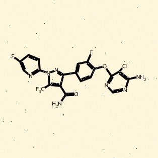 NC(=O)c1c(-c2ccc(Oc3ncnc(N)c3Cl)c(F)c2)nn(-c2ccc(F)cn2)c1C(F)(F)F